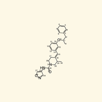 CC(Cc1ccccc1)Oc1cccc(/C=C2\CCN(C(=O)Nc3cnoc3)CC2C)c1